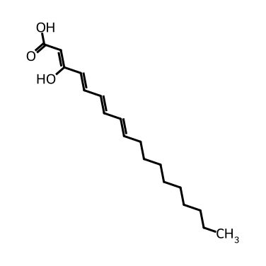 CCCCCCCCC/C=C/C=C/C=C/C(O)=C/C(=O)O